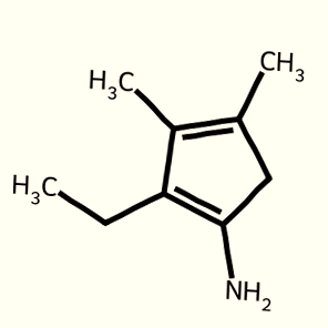 CCC1=C(N)CC(C)=C1C